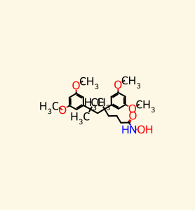 COc1cc(OC)cc(C(C)(C)CC(C)(CCCC(=O)NO)c2cc(OC)cc(OC)c2)c1